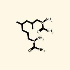 CC(CCCN(N)C(N)=O)CC(C)CN(N)C(N)=O